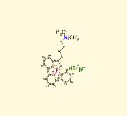 Br.CN(C)CCCCCC[P+](c1ccccc1)(c1ccccc1)c1ccccc1.[Br-]